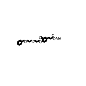 COC(=O)CCc1ccc(OCCCOCCCOCc2ccccc2)c(Cl)c1